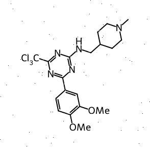 COc1ccc(-c2nc(NCC3CCN(C)CC3)nc(C(Cl)(Cl)Cl)n2)cc1OC